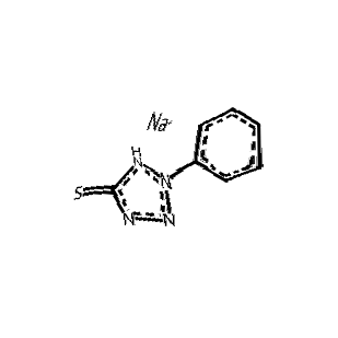 S=c1nnn(-c2ccccc2)[nH]1.[Na]